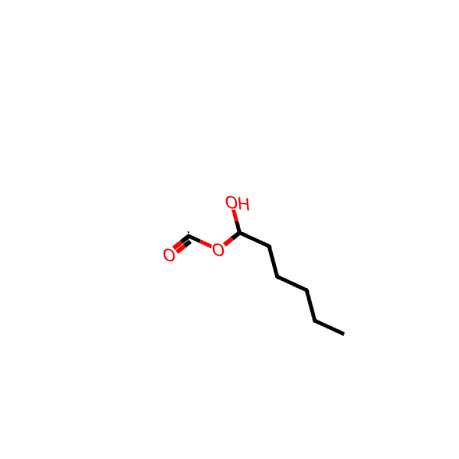 CCCCCC(O)O[C]=O